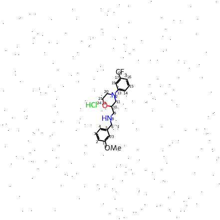 COc1cccc([C@@H](C)NCC2CN(c3cccc(C(F)(F)F)c3)CCO2)c1.Cl